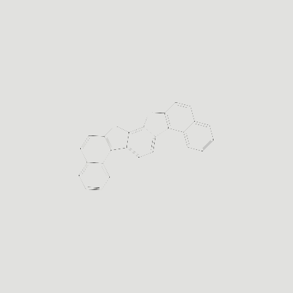 c1ccc2c(c1)ccc1sc3c(ccc4c3sc3ccc5ccccc5c34)c12